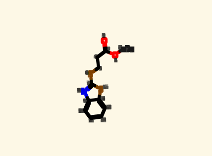 CCCCOC(=O)CCSc1nc2ccccc2s1